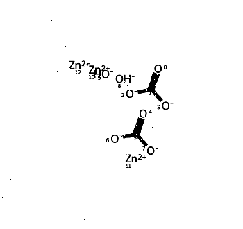 O=C([O-])[O-].O=C([O-])[O-].[OH-].[OH-].[Zn+2].[Zn+2].[Zn+2]